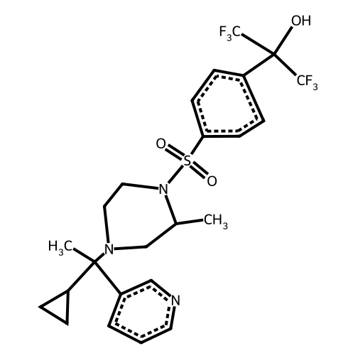 CC1CN(C(C)(c2cccnc2)C2CC2)CCN1S(=O)(=O)c1ccc(C(O)(C(F)(F)F)C(F)(F)F)cc1